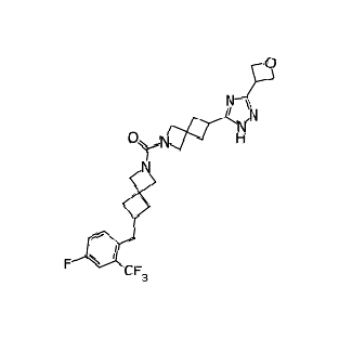 O=C(N1CC2(CC(Cc3ccc(F)cc3C(F)(F)F)C2)C1)N1CC2(CC(c3nc(C4COC4)n[nH]3)C2)C1